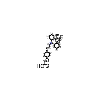 O=C(O)COc1ccc(SC/C=C(/c2ccccc2)c2ccccc2OC(F)(F)F)cc1